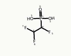 O=P(O)(O)C(F)C(F)F